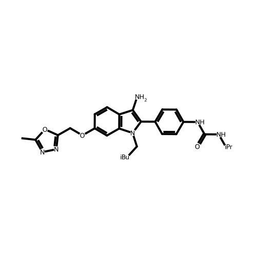 CCC(C)Cn1c(-c2ccc(NC(=O)NC(C)C)cc2)c(N)c2ccc(OCc3nnc(C)o3)cc21